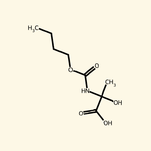 CCCCOC(=O)NC(C)(O)C(=O)O